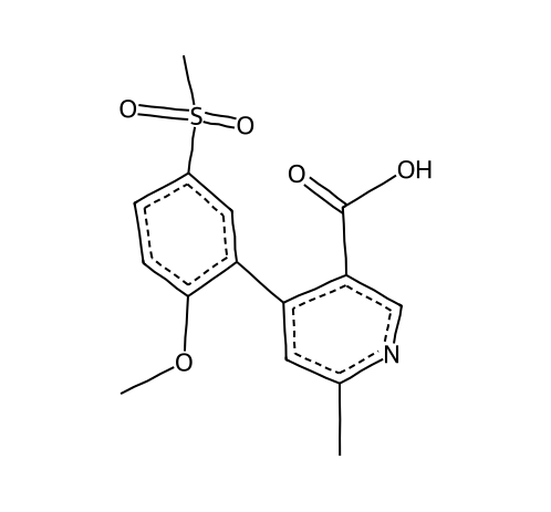 COc1ccc(S(C)(=O)=O)cc1-c1cc(C)ncc1C(=O)O